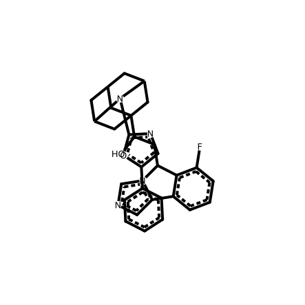 OC(CC1c2c(F)cccc2-c2cncn21)C12CC3CC(C1)N(c1ncc(-c4ccccc4)o1)C(C3)C2